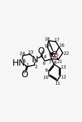 O=C1CN(C(=O)CC2(c3ccccc3)C3CC4CC(C3)CC2C4)CCN1